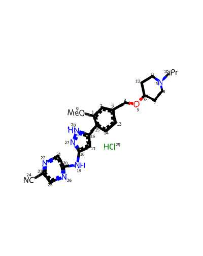 COc1cc(COC2CCN(C(C)C)CC2)ccc1-c1cc(Nc2cnc(C#N)cn2)n[nH]1.Cl